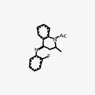 CC(=O)N1c2ccccc2C(=Nc2ccccc2F)CC1C